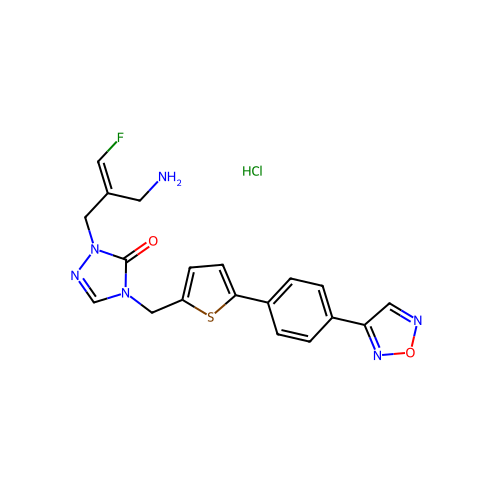 Cl.NC/C(=C\F)Cn1ncn(Cc2ccc(-c3ccc(-c4cnon4)cc3)s2)c1=O